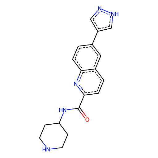 O=C(NC1CCNCC1)c1ccc2cc(-c3cn[nH]c3)ccc2n1